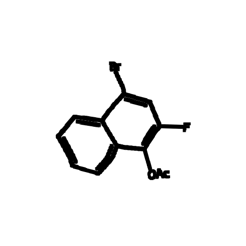 CC(=O)Oc1c(F)cc(Br)c2ccccc12